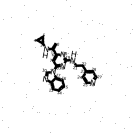 C=C(NC1CC1)c1cc(-n2cnc3ccccc32)nc(NCCc2ccncc2)n1